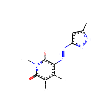 CCCCCCCCn1c(O)c(/N=N/c2cc(C)[nH]n2)c(C)c(C#N)c1=O